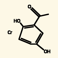 CC(=O)c1cc(O)ccc1O.[Cr]